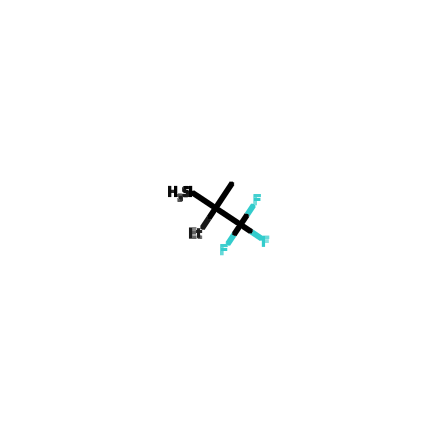 CCC(C)([SiH3])C(F)(F)F